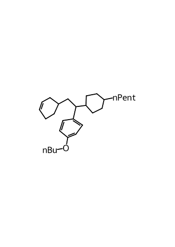 CCCCCC1CCC(C(CC2CC=CCC2)c2ccc(OCCCC)cc2)CC1